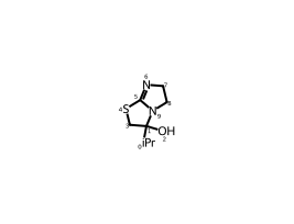 CC(C)C1(O)CSC2=NCCN21